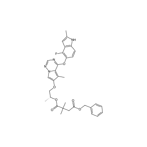 Cc1cc2c(F)c(Oc3ncnn4cc(OC[C@@H](C)OC(=O)C(C)(C)CC(=O)OCc5ccccc5)c(C)c34)ccc2[nH]1